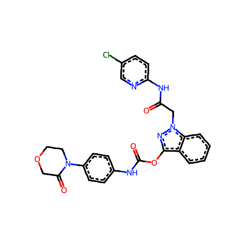 O=C(Cn1nc(OC(=O)Nc2ccc(N3CCOCC3=O)cc2)c2ccccc21)Nc1ccc(Cl)cn1